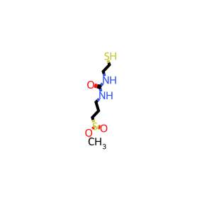 COS(=O)CCCNC(=O)NCCS